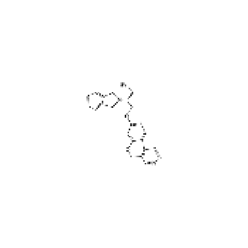 CC(C)C[C@@H](COc1ccc2c(c1)OCc1cnccc1-2)N1Cc2ccccc2C1